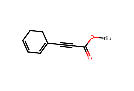 CC(C)(C)OC(=O)C#CC1=CC=CCC1